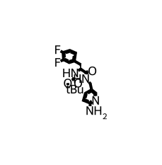 CC(C)(C)OC(=O)N[C@@H](Cc1ccc(F)c(F)c1)C(=O)NCc1ccc(N)nc1